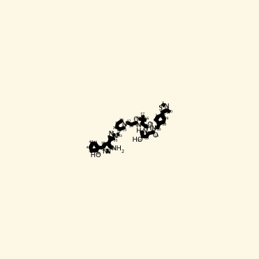 Cc1ncsc1-c1ccc(CNC(=O)C2C[C@@H](O)CN2C(=O)[C@@H](NC(=O)CCN2CCC[C@@H](Cn3cc(-c4cc(-c5ccccc5O)nnc4N)cn3)C2)C(C)(C)C)cc1